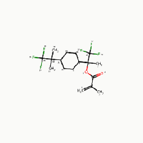 C=C(C)C(=O)OC(C)(C1CCC(C(C)(C)C(F)(F)F)CC1)C(F)(F)F